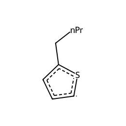 CCCCc1cc[c]s1